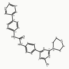 CC(C)c1nc(-c2ccc(NC(=O)Nc3ccc(-c4cncnc4)cc3)cc2)nc(N2CCOCC2)n1